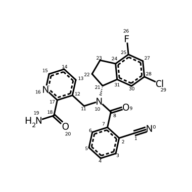 N#Cc1ccccc1C(=O)N(Cc1cccnc1C(N)=O)[C@@H]1CCc2c(F)cc(Cl)cc21